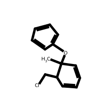 CC1(Oc2ccccc2)C=CC=CC1CCl